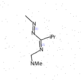 C/N=N/C(=N\CNC)C(C)C